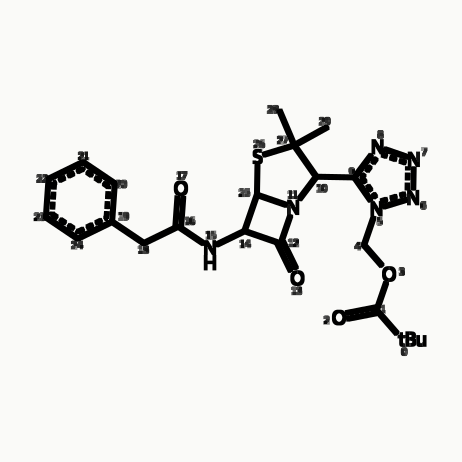 CC(C)(C)C(=O)OCn1nnnc1C1N2C(=O)C(NC(=O)Cc3ccccc3)C2SC1(C)C